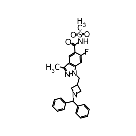 Cc1nn(CC2CN(C(c3ccccc3)c3ccccc3)C2)c2cc(F)c(C(=O)NS(C)(=O)=O)cc12